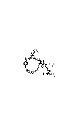 N=C(N)NCCC[C@@H](NC(=O)c1ccc2cc1OCCOCCOCCOc1ccc(cc1)CNc1nc(nc(OCC(F)(F)F)n1)N2)C(=O)O